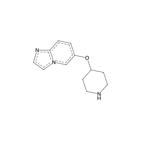 c1cn2cc(OC3CCNCC3)ccc2n1